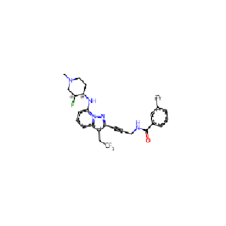 CC(C)c1cccc(C(=O)NCC#Cc2nn3c(N[C@@H]4CCN(C)C[C@@H]4F)cccc3c2CC(F)(F)F)c1